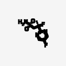 C[C@@](F)(CS(N)(=O)=O)c1ncc(F)cn1